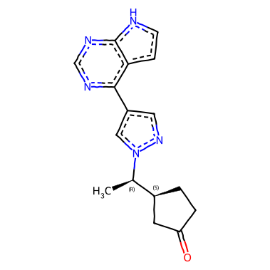 C[C@H]([C@H]1CCC(=O)C1)n1cc(-c2ncnc3[nH]ccc23)cn1